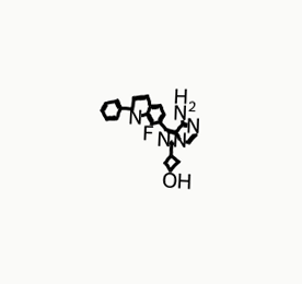 Nc1nccn2c(C3CC(O)C3)nc(-c3ccc4ccc(-c5ccccc5)nc4c3F)c12